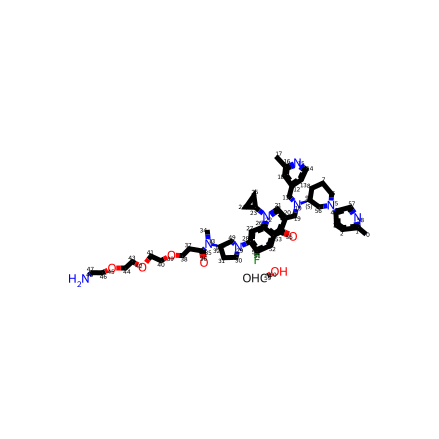 Cc1ccc(N2CCC[C@H](N(Cc3ccnc(C)c3)Cc3cn(C4CC4)c4cc(N5CC[C@@H](N(C)C(=O)CCOCCOCCOCCN)C5)c(F)cc4c3=O)C2)cn1.O=CO